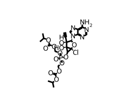 C#C[C@]1(O)[C@H](n2cnc3c(N)ncnc32)O[C@]2(Cl)C(OP(=O)(OCOC(=O)OC(C)C)OCOC(=O)OC(C)C)[C@@]21O